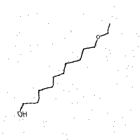 CCOCCCCCCCCCCO